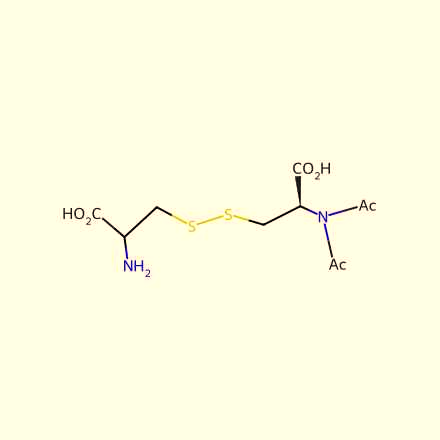 CC(=O)N(C(C)=O)[C@@H](CSSCC(N)C(=O)O)C(=O)O